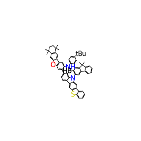 CC(C)(C)c1ccc(Nc2cc3c(cc2-c2ccc4c5cc6sc7ccccc7c6cc5n5c4c2Bc2cc4c(cc2-5)-c2ccccc2C4(C)C)oc2cc4c(cc23)C(C)(C)CCC4(C)C)cc1